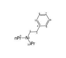 CCCN(CCc1ccccc1)C(C)C